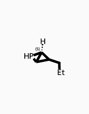 CCCC1C2P[C@@H]12